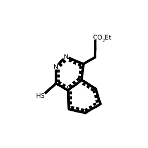 CCOC(=O)Cc1nnc(S)c2ccccc12